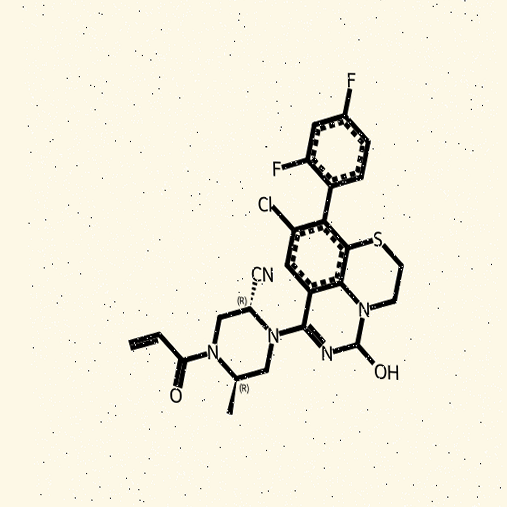 C=CC(=O)N1C[C@H](C#N)N(C2=NC(O)N3CCSc4c(-c5ccc(F)cc5F)c(Cl)cc2c43)C[C@H]1C